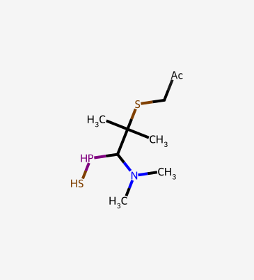 CC(=O)CSC(C)(C)C(PS)N(C)C